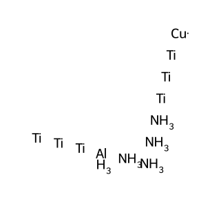 N.N.N.N.[AlH3].[Cu].[Ti].[Ti].[Ti].[Ti].[Ti].[Ti]